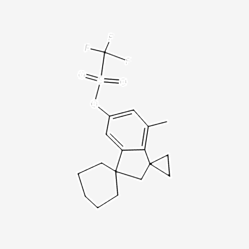 Cc1cc(OS(=O)(=O)C(F)(F)F)cc2c1C1(CC1)CC21CCCCC1